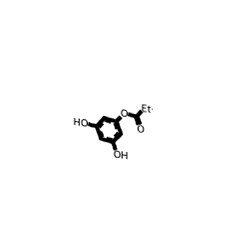 C[CH]C(=O)Oc1cc(O)cc(O)c1